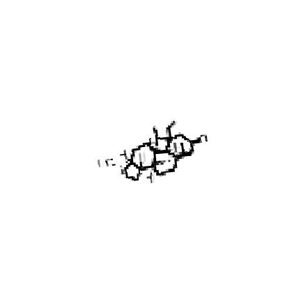 CCC1(CC)CC(=O)C=C2CC[C@H]3[C@@H]4CC[C@H](O)[C@H]4CC[C@@H]3[C@H]21